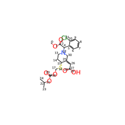 COC(=O)C(c1ccccc1Cl)N1CCC(SCOC(=O)OC(C)C)/C(=C\C(=O)O)C1